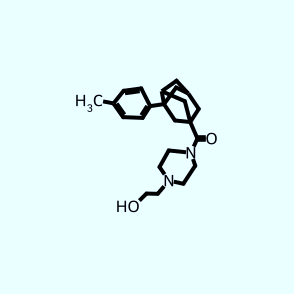 Cc1ccc(C23CC4CC2CC(C(=O)N2CCN(CCO)CC2)(C4)C3)cc1